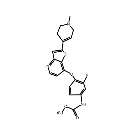 CN1CC=C(c2cc3nccc(Oc4ccc(NC(=O)OC(C)(C)C)cc4F)c3s2)CC1